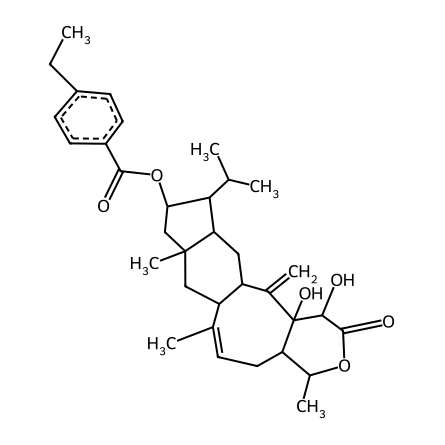 C=C1C2CC3C(C(C)C)C(OC(=O)c4ccc(CC)cc4)CC3(C)CC2C(C)=CCC2C(C)OC(=O)C(O)C12O